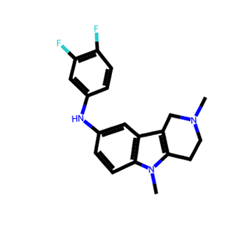 CN1CCc2c(c3cc(Nc4ccc(F)c(F)c4)ccc3n2C)C1